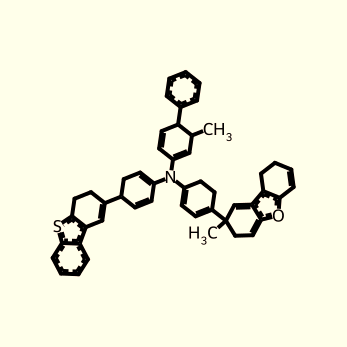 CC1C=C(N(C2=CCC(C3=Cc4c(sc5ccccc45)CC3)C=C2)C2=CC=C(C3(C)C=c4c5c(oc4=CC3)C=CCC5)CC2)C=CC1c1ccccc1